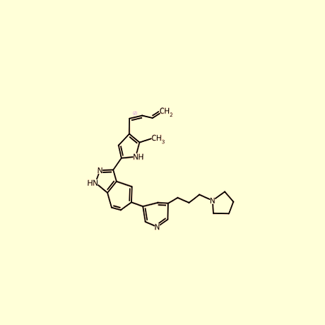 C=C/C=C\c1cc(-c2n[nH]c3ccc(-c4cncc(CCCN5CCCC5)c4)cc23)[nH]c1C